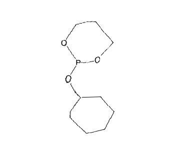 C1CCC(OP2OCCCO2)CC1